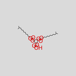 CC(C)CCCCCCCCCOC(=O)OC1CC(OC(=O)O)CC(OC(=O)OCCCCCCCCCC(C)C)C1